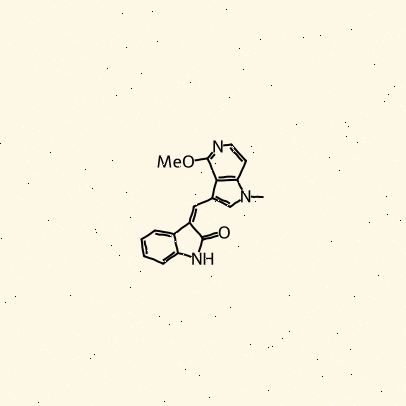 COc1nccc2c1c(C=C1C(=O)Nc3ccccc31)cn2C